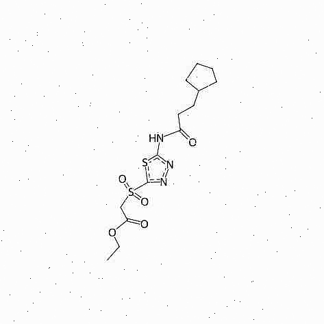 CCOC(=O)CS(=O)(=O)c1nnc(NC(=O)CCC2CCCC2)s1